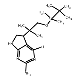 CC(C)(CO[Si](C)(C)C(C)(C)C)C1CNc2nc(N)nc(Cl)c21